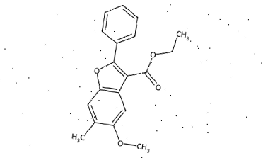 CCOC(=O)c1c(-c2ccccc2)oc2cc(C)c(OC)cc12